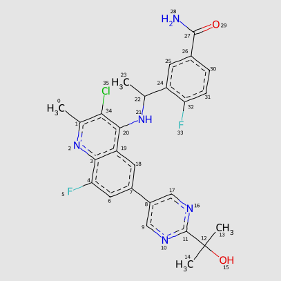 Cc1nc2c(F)cc(-c3cnc(C(C)(C)O)nc3)cc2c(NC(C)c2cc(C(N)=O)ccc2F)c1Cl